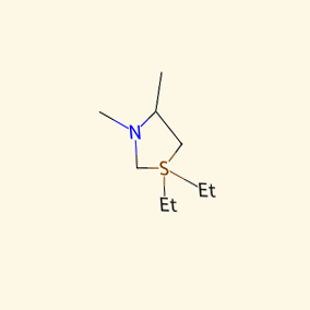 CCS1(CC)CC(C)N(C)C1